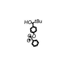 CC(C)(C)C(O)c1ccc(OS(=O)(=O)c2ccccc2)cc1